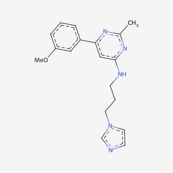 COc1cccc(-c2cc(NCCCn3ccnc3)nc(C)n2)c1